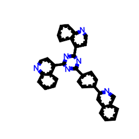 c1ccc2cc(-c3ccc(-c4nc(-c5ccnc6ccccc56)nc(-c5ccnc6ccccc56)n4)cc3)ncc2c1